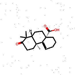 CC1(C)C(=O)CC[C@]2(C)C3=CCCC[C@]3(C(=O)O)CC[C@@H]12